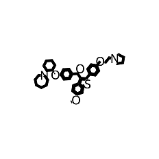 COc1ccc2c(C(=O)c3ccc(O[C@H]4CCCC[C@@H]4N4CCCCCC4)cc3)c(-c3ccc(OCCN4CCCC4)cc3)sc2c1